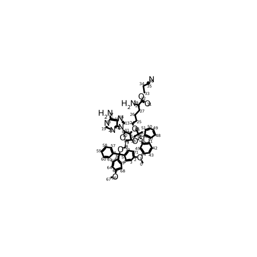 COc1ccc(C(OC[C@H]2O[C@@H](n3cnc4c(N)ncnc43)C(OCCCCC(N)C(=O)OCCC#N)C2O[Si](c2ccccc2)(c2ccccc2)C(C)(C)C)(c2ccccc2)c2ccc(OC)cc2)cc1